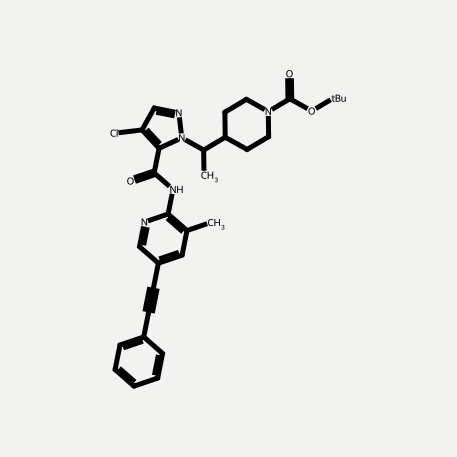 Cc1cc(C#Cc2ccccc2)cnc1NC(=O)c1c(Cl)cnn1C(C)C1CCN(C(=O)OC(C)(C)C)CC1